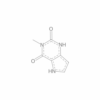 Cn1c(=O)[nH]c2cc[nH]c2c1=O